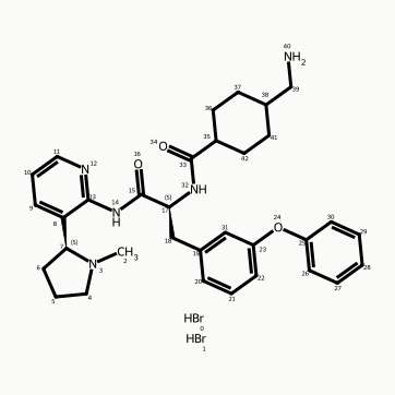 Br.Br.CN1CCC[C@H]1c1cccnc1NC(=O)[C@H](Cc1cccc(Oc2ccccc2)c1)NC(=O)C1CCC(CN)CC1